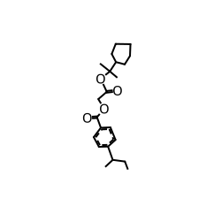 CCC(C)c1ccc(C(=O)OCC(=O)OC(C)(C)C2CCCCC2)cc1